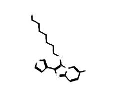 CCCCCCCCNc1c(-c2ccoc2)nc2ccc(C)cn12